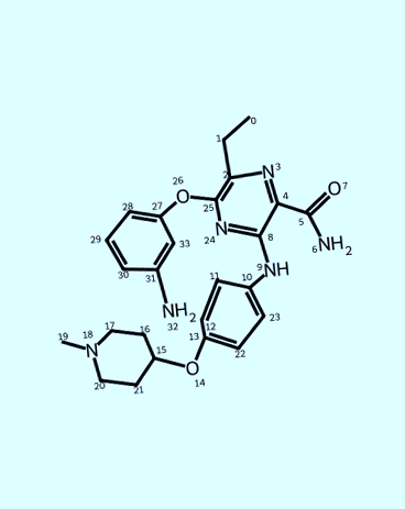 CCc1nc(C(N)=O)c(Nc2ccc(OC3CCN(C)CC3)cc2)nc1Oc1cccc(N)c1